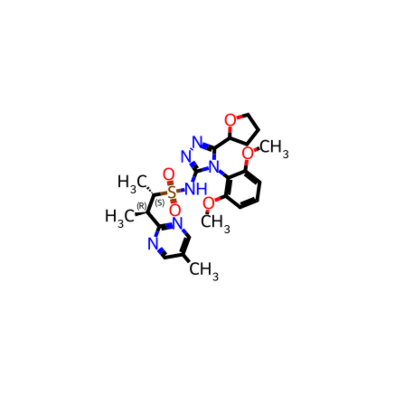 COc1cccc(OC)c1-n1c(NS(=O)(=O)[C@@H](C)[C@H](C)c2ncc(C)cn2)nnc1C1CCCO1